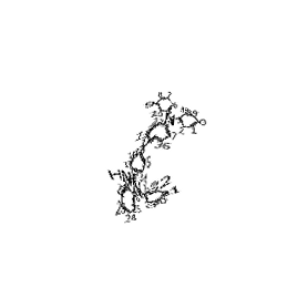 c1ccc(N(c2ccccc2)c2ccc(-c3ccc(C4Nc5ccccc5N4c4ccccc4)cc3)cc2)cc1